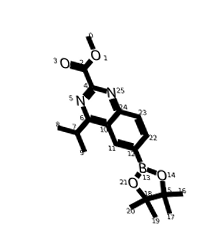 COC(=O)c1nc(C(C)C)c2cc(B3OC(C)(C)C(C)(C)O3)ccc2n1